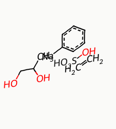 C=C.CC(O)CO.O=S(=O)(O)O.[Na][c]1ccccc1